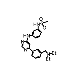 CCN(CC)Cc1cccc(-c2cc(Nc3cccc(NS(C)(=O)=O)c3)ncn2)c1